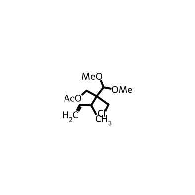 C=CC(C)C(CCl)(COC(C)=O)C(OC)OC